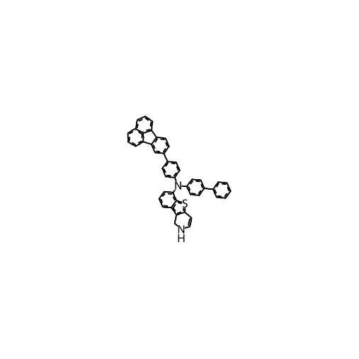 C1=Cc2sc3c(N(c4ccc(-c5ccccc5)cc4)c4ccc(-c5ccc6c(c5)-c5cccc7cccc-6c57)cc4)cccc3c2CN1